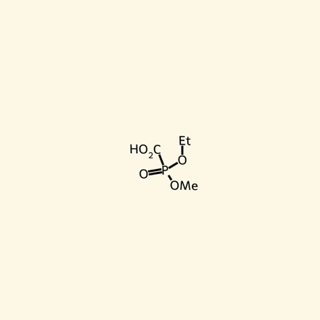 CCOP(=O)(OC)C(=O)O